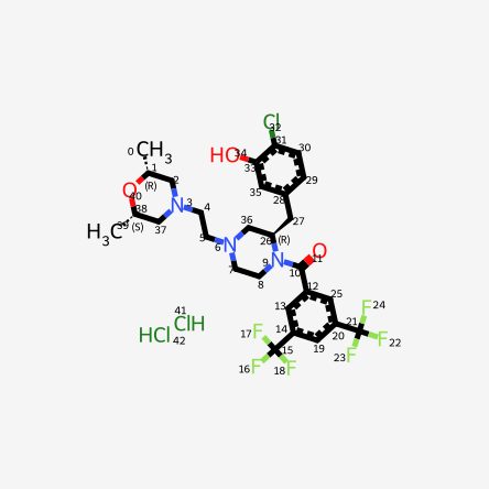 C[C@@H]1CN(CCN2CCN(C(=O)c3cc(C(F)(F)F)cc(C(F)(F)F)c3)[C@H](Cc3ccc(Cl)c(O)c3)C2)C[C@H](C)O1.Cl.Cl